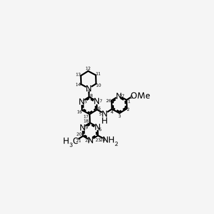 COc1ccc(Nc2nc(N3CCCCC3)ncc2-c2nc(C)nc(N)n2)cn1